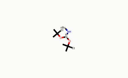 CCCCN[SiH](OC(C)(C)CC)OC(C)(C)CC